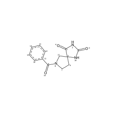 O=C1NC(=O)C2(CCN(C(=O)c3ccccc3)C2)N1